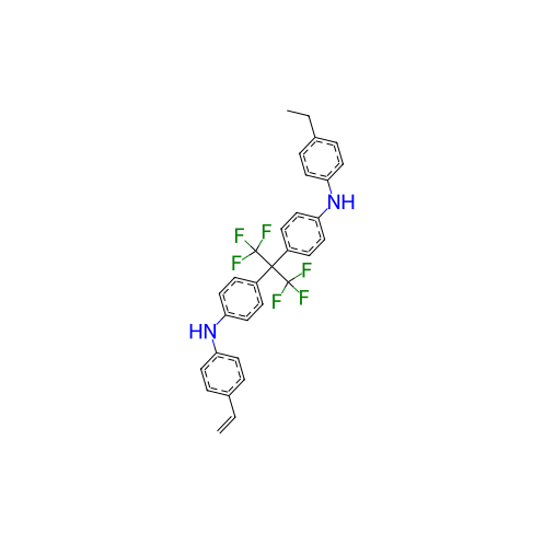 C=Cc1ccc(Nc2ccc(C(c3ccc(Nc4ccc(CC)cc4)cc3)(C(F)(F)F)C(F)(F)F)cc2)cc1